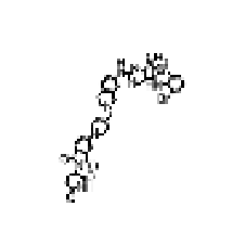 Cn1nc(Nc2c(Br)cccc2Br)c2cnc(Nc3ccc4c(c3)CN(CC3CCN(c5ccc6c(c5)C(=O)N(C5CCC(=O)NC5=O)C6=O)CC3)CC4)nc21